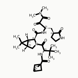 CN(C)C(=O)C(=O)[C@H](C[C@@H]1CCNC1=O)NC(=O)[C@@H]1[C@@H]2[C@H](CN1C(=O)[C@@H](NC(=O)C13CC(C1)C3)C(C)(C)C)C2(C)C